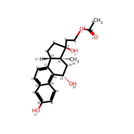 CC(=O)OCC[C@@]1(O)CC[C@H]2c3ccc4cc(O)ccc4c3[C@@H](O)C[C@@]21C